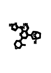 CC1COCCN1c1cc(C2CC3CC[C@@H](C2)O3)c(C=N)c(Nc2cc[nH]n2)n1